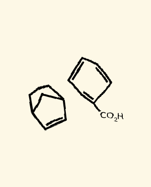 C1=CC2CCC1C2.O=C(O)c1ccccc1